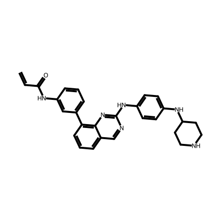 C=CC(=O)Nc1cccc(-c2cccc3cnc(Nc4ccc(NC5CCNCC5)cc4)nc23)c1